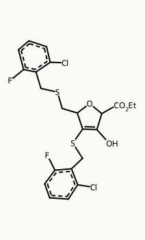 CCOC(=O)C1OC(CSCc2c(F)cccc2Cl)C(SCc2c(F)cccc2Cl)=C1O